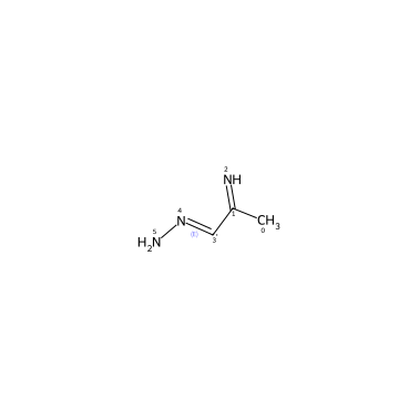 CC(=N)/[C]=N/N